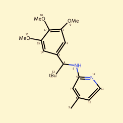 COc1cc(C(Nc2cc(C)ccn2)C(C)(C)C)cc(OC)c1OC